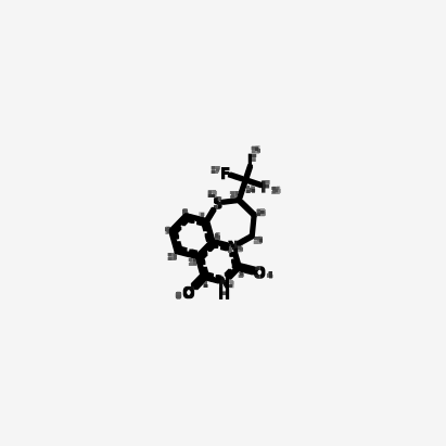 O=c1[nH]c(=O)n2c3c(cccc13)SC(C(F)(F)F)CC2